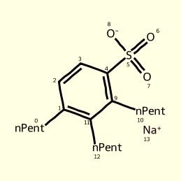 CCCCCc1ccc(S(=O)(=O)[O-])c(CCCCC)c1CCCCC.[Na+]